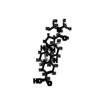 CC(C)N(C(=O)C1CC[C@H]2[C@@H]3CCC4CC(C(=O)O)=CC[C@]4(C)[C@@H]3CC[C@]12C)C(C)C